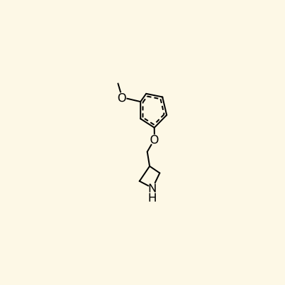 COc1cccc(OCC2CNC2)c1